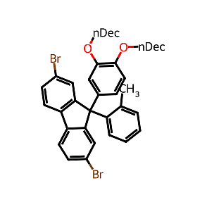 CCCCCCCCCCOc1ccc(C2(c3ccccc3C)c3cc(Br)ccc3-c3ccc(Br)cc32)cc1OCCCCCCCCCC